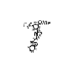 COc1cc(-c2ncn(C=Cc3nc4ccccc4o3)n2)cc(C(F)(F)F)c1